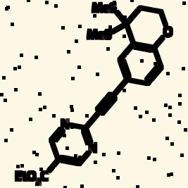 CCOC(=O)c1cnc(C#Cc2ccc3c(c2)C(SC)(SC)CCO3)nc1